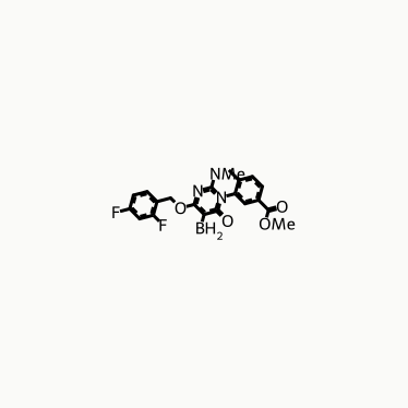 Bc1c(OCc2ccc(F)cc2F)nc(NC)n(-c2cc(C(=O)OC)ccc2C)c1=O